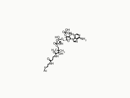 CC(C)(COP(=O)(O)OP(=O)(O)OC[C@H]1O[C@@H](n2cnc3c(N)ncnc32)[C@H](O)[C@@H]1OP(=O)(O)O)[C@@H](O)C(=O)NCCC(=O)NCCS[12C]([12CH3])=O